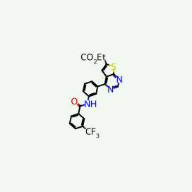 CCOC(=O)c1cc2c(-c3cccc(NC(=O)c4cccc(C(F)(F)F)c4)c3)ncnc2s1